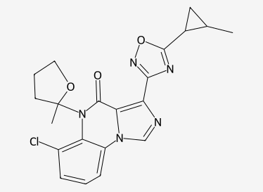 CC1CC1c1nc(-c2ncn3c2c(=O)n(C2(C)CCCO2)c2c(Cl)cccc23)no1